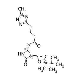 Cn1nnc(CCCC(=O)S[C@H]2NC(=O)[C@@H]2CO[Si](C)(C)C(C)(C)C)n1